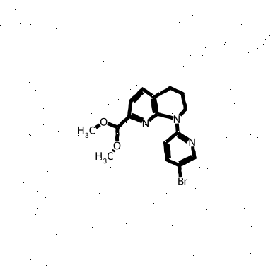 COC(OC)c1ccc2c(n1)N(c1ccc(Br)cn1)CCC2